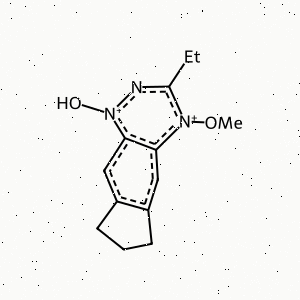 CCc1n[n+](O)c2cc3c(cc2[n+]1OC)CCC3